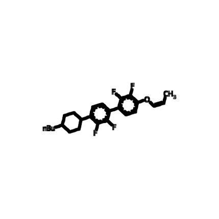 C/C=C\Oc1ccc(-c2ccc(C3CCC(CCCC)CC3)c(F)c2F)c(F)c1F